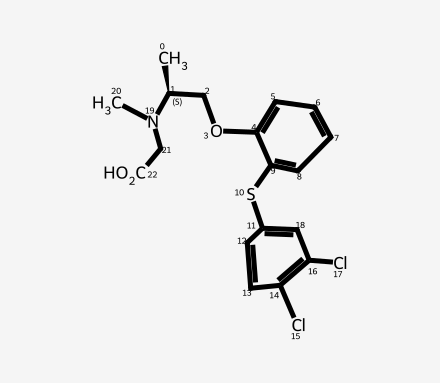 C[C@@H](COc1ccccc1Sc1ccc(Cl)c(Cl)c1)N(C)CC(=O)O